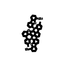 Cc1ccc2c(c1)N(c1cccc3c1oc1c(C(C)(C)C)cccc13)c1c3oc4cccc5c6ccc(C)cc6n(-c6cccc7c6oc6c(C(C)(C)C)cccc67)c(c6cccc-2c16)c3c45